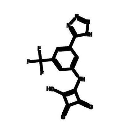 O=c1c(O)c(Nc2cc(-c3nnn[nH]3)cc(C(F)(F)F)c2)c1=O